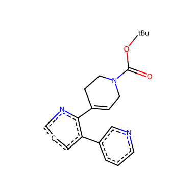 CC(C)(C)OC(=O)N1CC=C(c2ncccc2-c2cccnc2)CC1